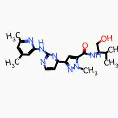 Cc1cc(C)nc(Nc2nccc(-c3cc(C(=O)NC(CO)C(C)C)n(C)n3)n2)c1